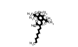 CCCCCCCCC(Cc1cc(C(C)(C)C)c(O)c(C)c1C(C)(C)C)C(=O)O